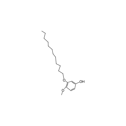 CCCCCCCCCCCCOc1cc(O)ccc1OC